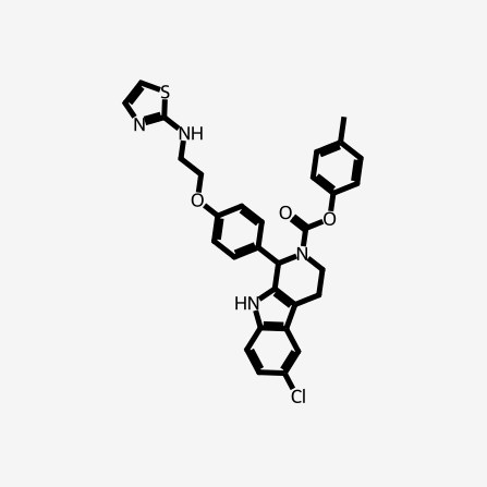 Cc1ccc(OC(=O)N2CCc3c([nH]c4ccc(Cl)cc34)C2c2ccc(OCCNc3nccs3)cc2)cc1